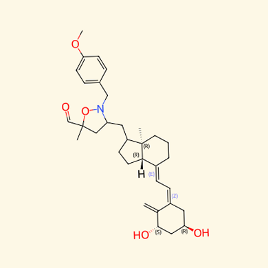 C=C1/C(=C\C=C2/CCC[C@]3(C)C(CC4CC(C)(C=O)ON4Cc4ccc(OC)cc4)CC[C@@H]23)C[C@@H](O)C[C@@H]1O